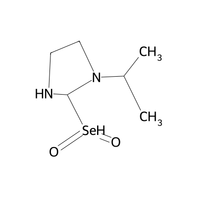 CC(C)N1CCNC1[SeH](=O)=O